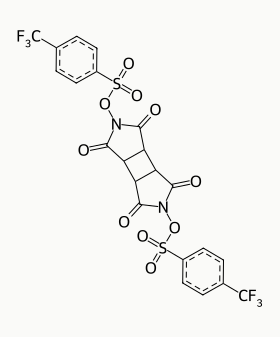 O=C1C2C(C(=O)N1OS(=O)(=O)c1ccc(C(F)(F)F)cc1)C1C(=O)N(OS(=O)(=O)c3ccc(C(F)(F)F)cc3)C(=O)C21